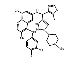 Cc1scnc1[C@H](Nc1cc(Cl)c2ncc(C#N)c(Nc3ccc(F)c(Cl)c3)c2c1)C1=CN(C2CCN(C(C)(C)C)CC2)NN1